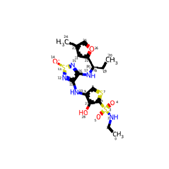 CCNS(=O)(=O)c1scc(Nc2n[s+]([O-])nc2N[C@H](CC)c2cc(C)co2)c1O